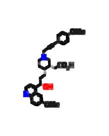 COc1ccc(C#CCN2CC[C@@H](CC[C@H](O)c3ccnc4ccc(OC)cc34)[C@@H](CC(=O)O)C2)cc1